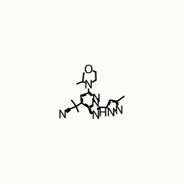 Cc1cc(-c2ncc3c(C(C)(C)C#N)cc(N4CCOCC4C)nn23)[nH]n1